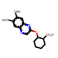 COc1cc2ncc(OC3CCCCC3C(=O)O)nc2cc1OC